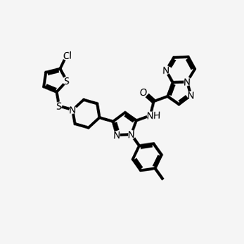 Cc1ccc(-n2nc(C3CCN(Sc4ccc(Cl)s4)CC3)cc2NC(=O)c2cnn3cccnc23)cc1